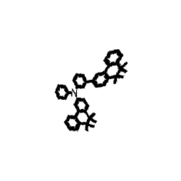 CC1(C)c2ccccc2-c2cc(-c3cccc(N(c4ccccc4)c4ccc5c(c4)-c4ccccc4C(C)(C)C5(C)C)c3)ccc2C1(C)C